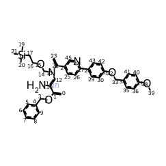 C=C(OCc1ccccc1)/C(N)=C/N(COCC[Si](C)(C)C)C(=C)c1ccc(-c2ccc(OCc3ccc(OC)cc3)cc2)nc1